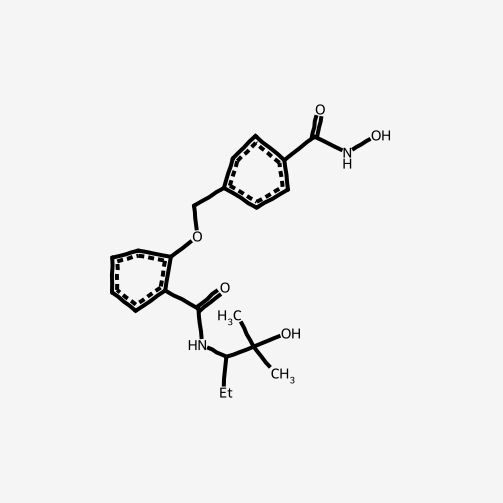 CCC(NC(=O)c1ccccc1OCc1ccc(C(=O)NO)cc1)C(C)(C)O